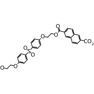 O=C(O)c1ccc2cc(C(=O)OCCOc3ccc(S(=O)(=O)c4ccc(OCCO)cc4)cc3)ccc2c1